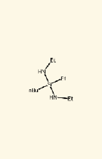 CCCC[Si](CC)(NCC)NCC